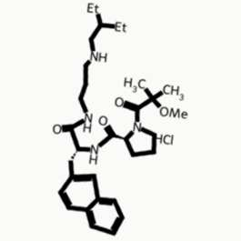 CCC(CC)CNCCCNC(=O)[C@@H](Cc1ccc2ccccc2c1)NC(=O)[C@@H]1CCCN1C(=O)C(C)(C)OC.Cl